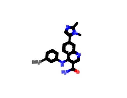 CCOC(=O)c1cccc(Nc2c(C(N)=O)cnc3cc(-c4cnc(C)n4C)ccc23)c1